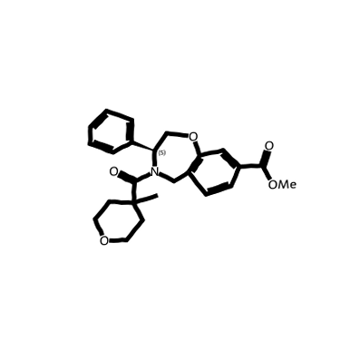 COC(=O)c1ccc2c(c1)OC[C@H](c1ccccc1)N(C(=O)C1(C)CCOCC1)C2